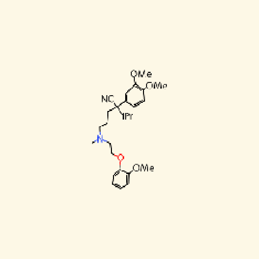 COc1ccc(C(C#N)(CCCN(C)CCOc2ccccc2OC)C(C)C)cc1OC